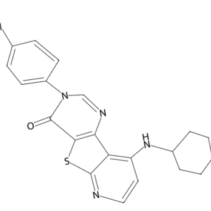 O=c1c2sc3nccc(NC4CCCCC4)c3c2ncn1-c1ccc(Cl)cc1